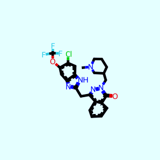 CN1CCCC(Cn2nc(Cc3nc4cc(OC(F)(F)F)c(Cl)cc4[nH]3)c3ccccc3c2=O)C1